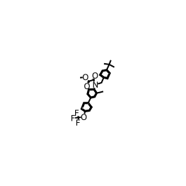 COC(=O)C(=O)N(Cc1ccc(C(C)(C)C)cc1)c1ccc(-c2ccc(OC(F)(F)F)cc2)cc1C